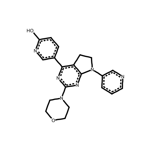 Oc1ccc(-c2nc(N3CCOCC3)nc3c2CCN3c2cccnc2)cn1